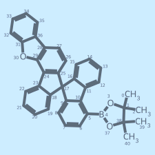 CC1(C)OB(c2cccc3c2-c2ccccc2C32c3ccccc3-c3c2ccc2c3oc3ccccc32)OC1(C)C